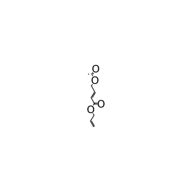 C=CCOC(=O)C=CCO[C]=O